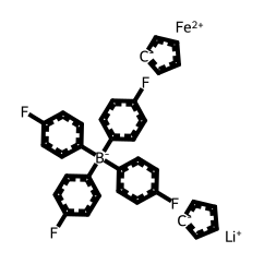 Fc1ccc([B-](c2ccc(F)cc2)(c2ccc(F)cc2)c2ccc(F)cc2)cc1.[Fe+2].[Li+].c1cc[cH-]c1.c1cc[cH-]c1